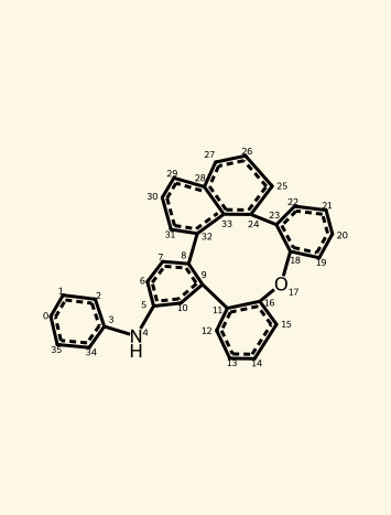 c1ccc(Nc2ccc3c(c2)-c2ccccc2Oc2ccccc2-c2cccc4cccc-3c24)cc1